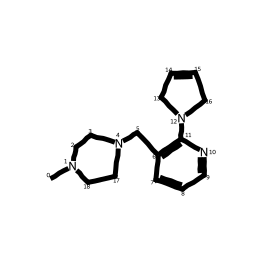 CN1CCN(Cc2[c]ccnc2N2CC=CC2)CC1